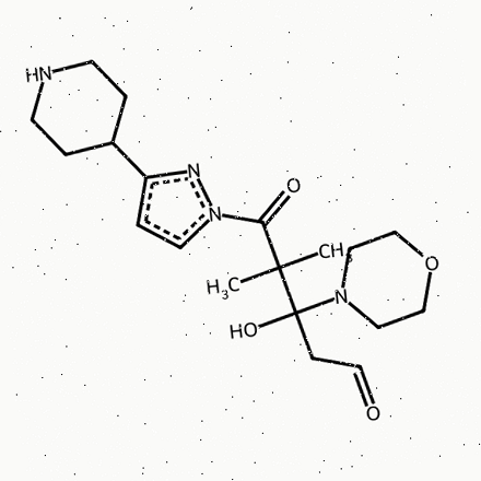 CC(C)(C(=O)n1ccc(C2CCNCC2)n1)C(O)(CC=O)N1CCOCC1